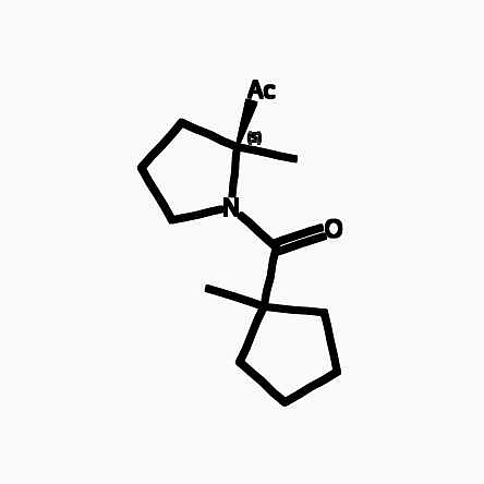 CC(=O)[C@]1(C)CCCN1C(=O)C1(C)CCCC1